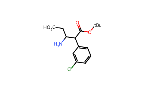 CC(C)(C)OC(=O)C(c1cccc(Cl)c1)C(N)CC(=O)O